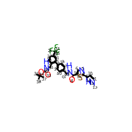 C[C@@H](NC(=O)c1cnc(-c2ccn(C)n2)s1)c1ccc(-c2cc(C(F)(F)F)ccc2CNC(=O)OC(C)(C)C)cc1